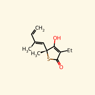 C=C/C(C)=C/[C@@]1(C)SC(=O)C(CC)=C1O